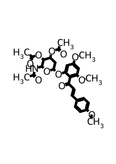 COc1ccc(C=CC(=O)c2c(OC)cc(OC)cc2OC2CC(OC(C)=O)C(OC(C)=O)C(NC(C)=O)O2)cc1